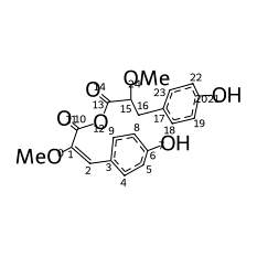 COC(=Cc1ccc(O)cc1)C(=O)OC(=O)C(Cc1ccc(O)cc1)OC